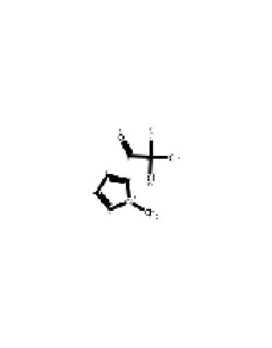 Cn1cccc1.O=CC(Cl)(Cl)Cl